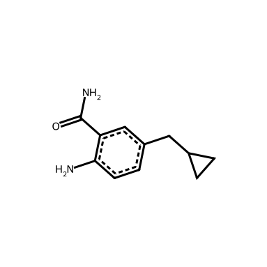 NC(=O)c1cc(CC2CC2)ccc1N